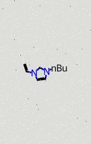 C=CN1C=CN(CCCC)C1